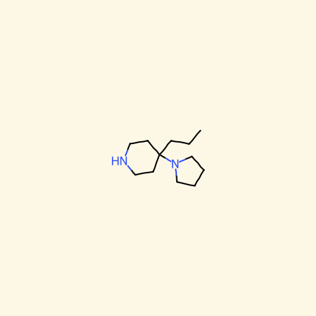 CCCC1(N2CCCC2)CCNCC1